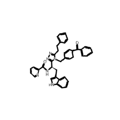 O=C(N[C@H](Cc1c[nH]c2ccccc12)c1nnc(CCc2ccccc2)n1CC1=CCC(C(=O)c2ccccc2)C=C1)c1ccccn1